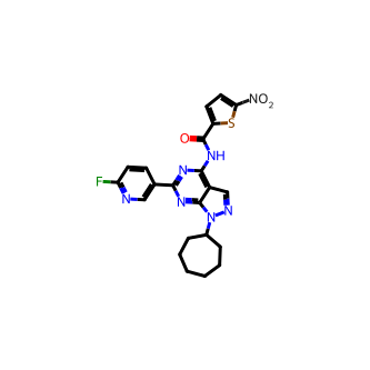 O=C(Nc1nc(-c2ccc(F)nc2)nc2c1cnn2C1CCCCCC1)c1ccc([N+](=O)[O-])s1